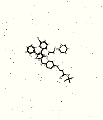 CC(C)(C)OC(=O)COCC1CCC(Cn2nc(-c3ccccc3)c(-c3cccc(F)c3)c2SCCOC2CCCCO2)CC1